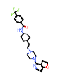 O=C(NC1CCC(CCN2CCN(c3nccc4c3CCO4)CC2)CC1)c1ccc(C(F)(F)F)cc1